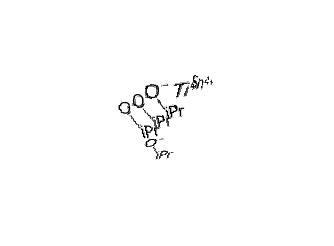 CC(C)[O-].CC(C)[O-].CC(C)[O-].CC(C)[O-].[Sn+4].[Ti+4]